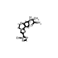 CCn1ncnc1-c1cn2c(n1)-c1ccc(N[C@@H](C)C(N)=O)cc1OCC2